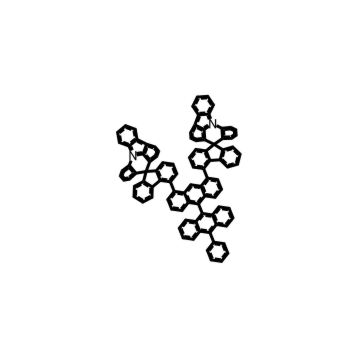 c1ccc(-c2c3ccccc3c(-c3c4cccc(-c5cccc6c5-c5ccccc5C65c6ccccc6-n6c7ccccc7c7cccc5c76)c4cc4c(-c5cccc6c5-c5ccccc5C65c6ccccc6-n6c7ccccc7c7cccc5c76)cccc34)c3ccccc23)cc1